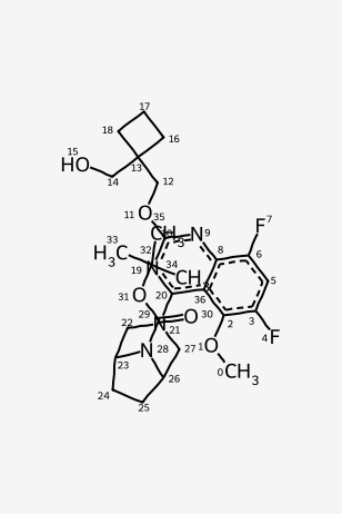 COc1c(F)cc(F)c2nc(OCC3(CO)CCC3)nc(N3CC4CCC(C3)N4C(=O)OC(C)(C)C)c12